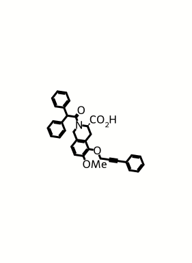 COc1ccc2c(c1OCC#Cc1ccccc1)C[C@@H](C(=O)O)N(C(=O)C(c1ccccc1)c1ccccc1)C2